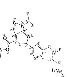 CCOC(=O)c1cc(-c2cccc(CN(C)CCNC)c2)nc2c1cnn2C(C)C